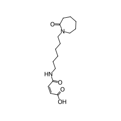 O=C(O)/C=C\C(=O)NCCCCCCN1CCCCCC1=O